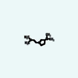 CN(C)CCN1CC[C@H](N(C)C)C1